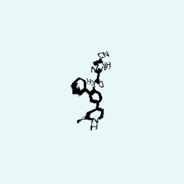 C[C@H]1CC(c2ccc(NC(=O)c3ncc(C#N)[nH]3)c(C3=CCCCC3)c2)CCN1